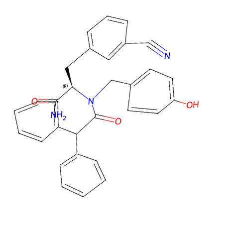 N#Cc1cccc(C[C@H](C(N)=O)N(Cc2ccc(O)cc2)C(=O)C(c2ccccc2)c2ccccc2)c1